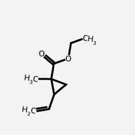 C=CC1CC1(C)C(=O)OCC